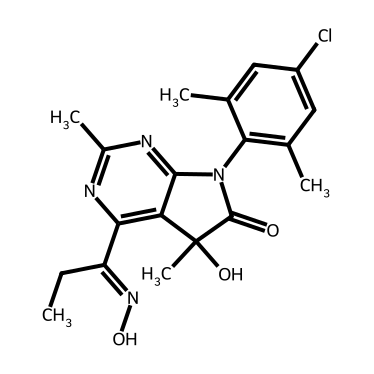 CCC(=NO)c1nc(C)nc2c1C(C)(O)C(=O)N2c1c(C)cc(Cl)cc1C